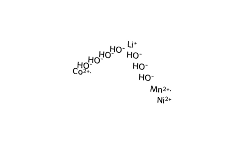 [Co+2].[Li+].[Mn+2].[Ni+2].[OH-].[OH-].[OH-].[OH-].[OH-].[OH-].[OH-]